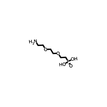 NCCOCCOCCP(=O)(O)O